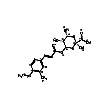 COc1ccc(/C=C/C(=O)O[C@@H]2C[C@](O)(C(=O)O)C[C@@H](O)[C@H]2O)cc1C